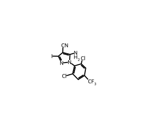 N#Cc1c(I)nn(-c2c(Cl)cc(C(F)(F)F)cc2Cl)c1N